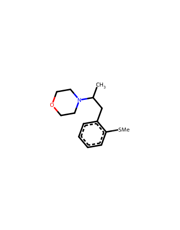 CSc1ccccc1CC(C)N1CCOCC1